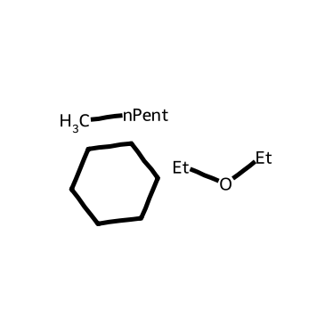 C1CCCCC1.CCCCCC.CCOCC